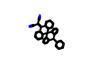 N#CC(C#N)=C1c2ccccc2C2(c3ccccc31)c1ccccc1C(c1ccccc1)c1ccccc12